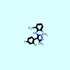 Cc1nn(C)c(Nc2c(F)cccc2[N+](=O)[O-])c1-c1ccc(F)cc1Br